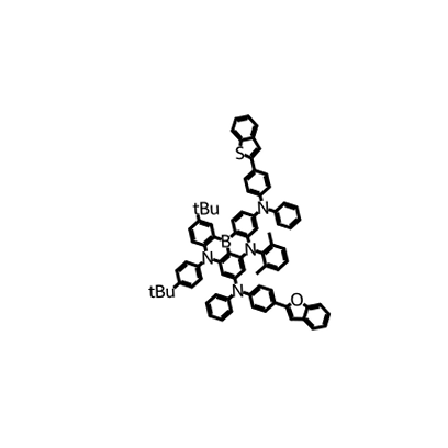 Cc1cccc(C)c1N1c2cc(N(c3ccccc3)c3ccc(-c4cc5ccccc5s4)cc3)ccc2B2c3cc(C(C)(C)C)ccc3N(c3ccc(C(C)(C)C)cc3)c3cc(N(c4ccccc4)c4ccc(-c5cc6ccccc6o5)cc4)cc1c32